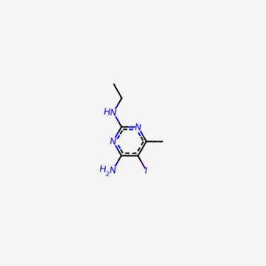 CCNc1nc(C)c(I)c(N)n1